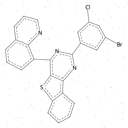 Clc1cc(Br)cc(-c2nc(-c3cccc4cccnc34)c3sc4ccccc4c3n2)c1